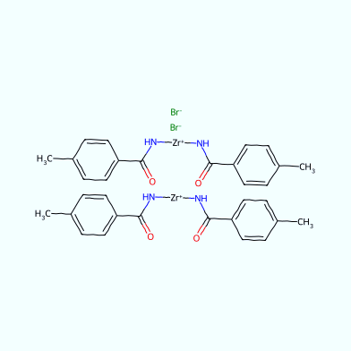 Cc1ccc(C(=O)[NH][Zr+][NH]C(=O)c2ccc(C)cc2)cc1.Cc1ccc(C(=O)[NH][Zr+][NH]C(=O)c2ccc(C)cc2)cc1.[Br-].[Br-]